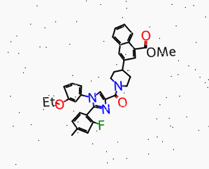 CCOc1cccc(-n2cc(C(=O)N3CCC(c4cc(C(=O)OC)c5ccccc5c4)CC3)nc2-c2ccc(C)cc2F)c1